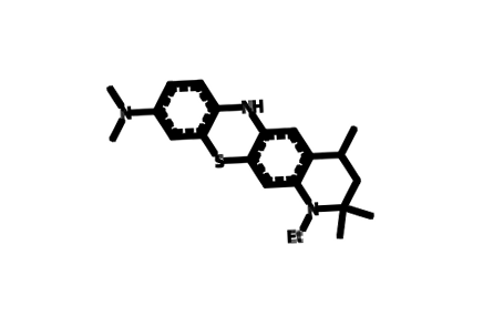 CCN1c2cc3c(cc2C(C)CC1(C)C)Nc1ccc(N(C)C)cc1S3